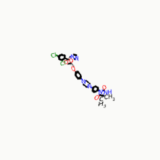 CC1(C)NC(=O)N(c2ccc(N3CCN(c4ccc(OC[C@@H]5CO[C@@](Cn6ccnc6)(c6ccc(Cl)cc6Cl)O5)cc4)CC3)cc2)C1=O